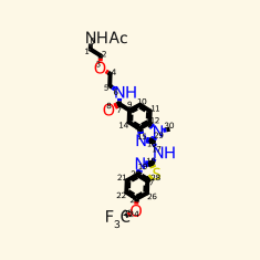 CC(=O)NCCOCCNC(=O)c1ccc2c(c1)nc(Nc1nc3ccc(OC(F)(F)F)cc3s1)n2C